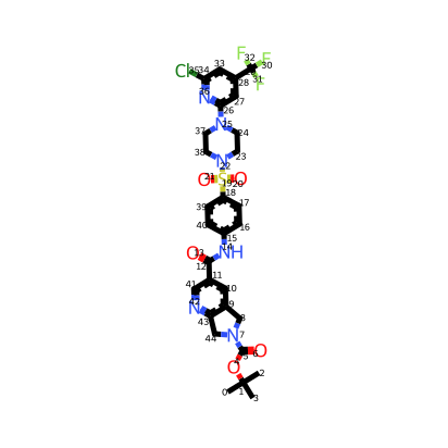 CC(C)(C)OC(=O)N1Cc2cc(C(=O)Nc3ccc(S(=O)(=O)N4CCN(c5cc(C(F)(F)F)cc(Cl)n5)CC4)cc3)cnc2C1